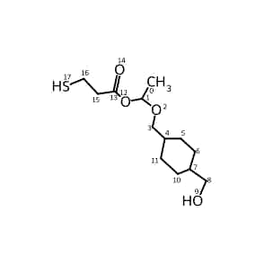 CC(OCC1CCC(CO)CC1)OC(=O)CCS